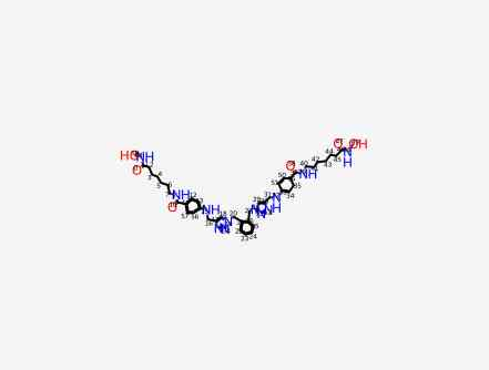 O=C(CCCCCCNC(=O)c1ccc(NCc2cn(Cc3ccccc3Cn3cc(CNC4=CCC(C(=O)NCCCCCCC(=O)NO)C=C4)nn3)nn2)cc1)NO